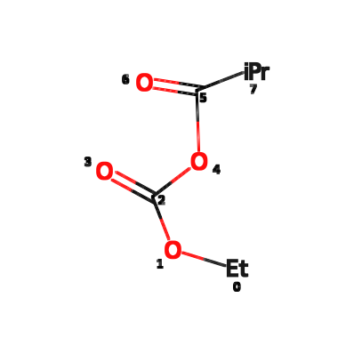 CCOC(=O)OC(=O)C(C)C